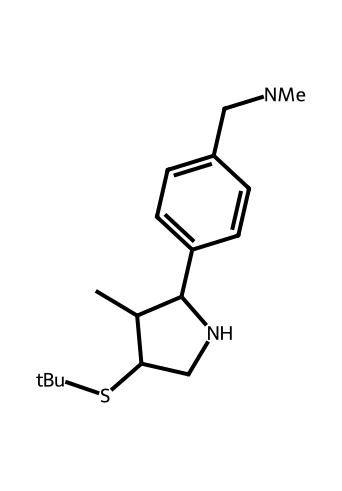 CNCc1ccc(C2NCC(SC(C)(C)C)C2C)cc1